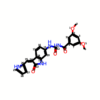 COc1cc(OC)cc(C(=O)NC(=O)Nc2ccc3c(c2)NC(=O)C3=Cc2ccc[nH]2)c1